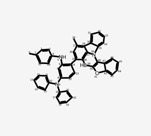 Cc1ccc(Nc2cc(N(c3ccccc3)c3ccccc3)ccc2-c2cc(C)c3c4ccccc4n4c3c2Bc2oc3ccccc3c2-4)cc1